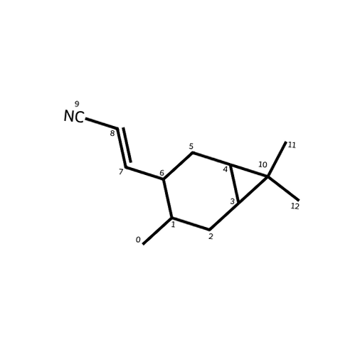 CC1CC2C(CC1C=CC#N)C2(C)C